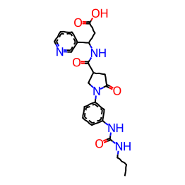 CCCNC(=O)Nc1cccc(N2CC(C(=O)NC(CC(=O)O)c3cccnc3)CC2=O)c1